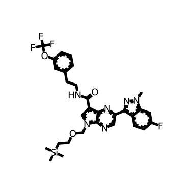 Cn1nc(-c2cnc3c(n2)c(C(=O)NCCc2cccc(OC(F)(F)F)c2)cn3COCC[Si](C)(C)C)c2ccc(F)cc21